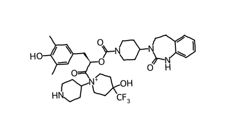 Cc1cc(C[C@@H](OC(=O)N2CCC(N3CCc4ccccc4NC3=O)CC2)C(=O)[N+]2(C3CCNCC3)CCC(O)(C(F)(F)F)CC2)cc(C)c1O